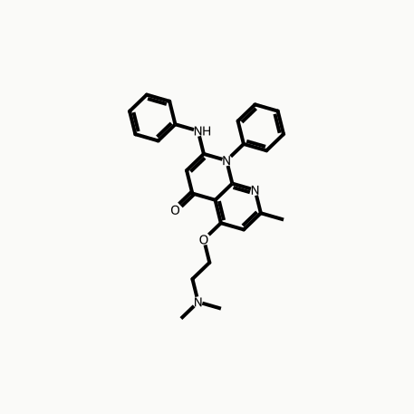 Cc1cc(OCCN(C)C)c2c(=O)cc(Nc3ccccc3)n(-c3ccccc3)c2n1